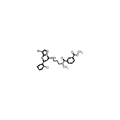 COC(=O)c1cccc(C(=O)N(C)CCCNc2cc(-c3ccccc3Cl)nc3c(Br)cnn23)c1